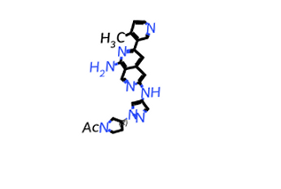 CC(=O)N1CC[C@@H](n2cc(Nc3cc4cc(-c5cnccc5C)nc(N)c4cn3)cn2)C1